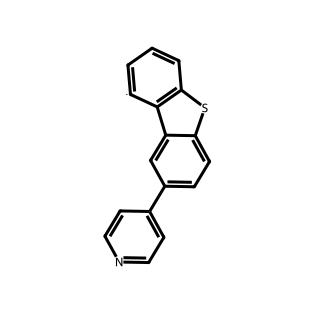 [c]1cccc2sc3ccc(-c4ccncc4)cc3c12